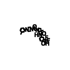 Cc1cccc(N2CCN(C(=O)CN3CCC(C)(C(=O)Nc4ccc(O)c(C(F)(F)F)c4)C3)CC2)c1